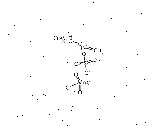 C=O.O=S(=O)([O-])[O-].OO.[Cu+2].[K+].[O]=[Mn](=[O])(=[O])[O-]